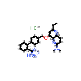 CCc1cc(OCc2ccc(-c3ccccc3-c3nnn[nH]3)cc2)c2nc(N(C)C)ccc2n1.Cl